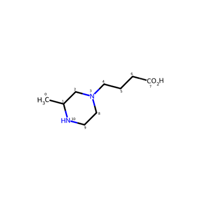 CC1CN(CCCC(=O)O)CCN1